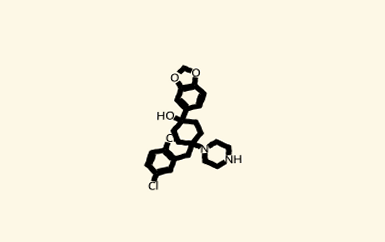 OC1(c2ccc3c(c2)OCO3)CCC(Cc2cc(Cl)ccc2Cl)(N2CCNCC2)CC1